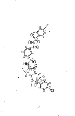 Cc1ccc(S(=O)(=O)NC(=O)c2cccc(C(=O)N[C@@H](C(=O)N3CC[C@](O)(c4ccc(Cl)cc4)C(C)(C)C3)C(C)C)c2)cc1